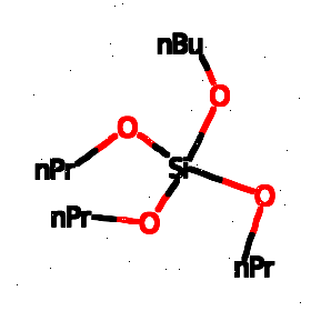 CCCCO[Si](OCCC)(OCCC)OCCC